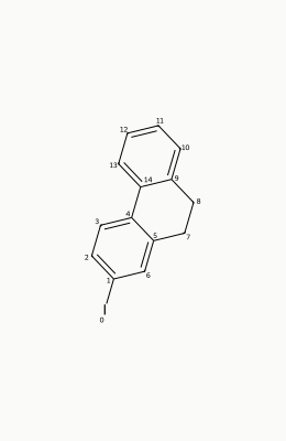 Ic1ccc2c(c1)CCc1ccccc1-2